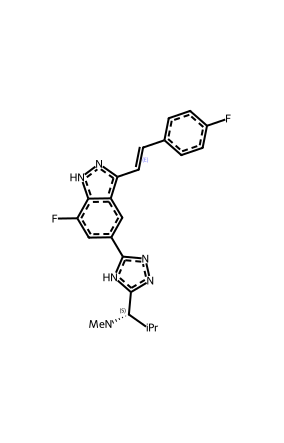 CN[C@H](c1nnc(-c2cc(F)c3[nH]nc(/C=C/c4ccc(F)cc4)c3c2)[nH]1)C(C)C